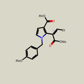 CC/C=C(\C(=O)OC)c1c(C(=O)OC)ccn1Cc1ccc(OC)cc1